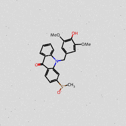 COc1cc(Cn2c3ccccc3c(=O)c3ccc([S+](C)[O-])cc32)cc(OC)c1O